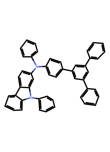 c1ccc(-c2cc(-c3ccccc3)cc(-c3ccc(N(c4ccccc4)c4ccc5c6ccccc6n(-c6ccccc6)c5c4)cc3)c2)cc1